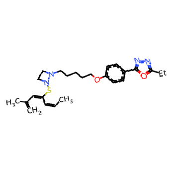 C=C(C)/C=C(\C=C/C)SN1CCN1CCCCCOc1ccc(-c2nnc(CC)o2)cc1